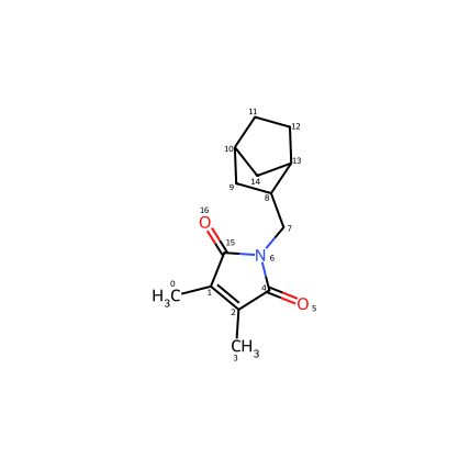 CC1=C(C)C(=O)N(CC2CC3CCC2C3)C1=O